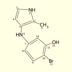 Cc1[nH]ccc1Nc1ccc(Br)c(O)c1